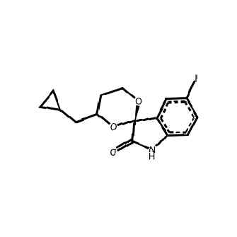 O=C1Nc2ccc(I)cc2[C@]12OCCC(CC1CC1)O2